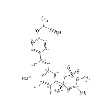 C#CC(C)Oc1cnc(/C(F)=C/c2cc(F)c(F)c([C@]3(C)CS(=O)(=O)N(C)C(N)=N3)c2)cn1.Cl